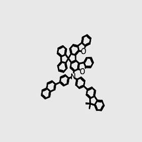 CC1(C)c2ccccc2-c2ccc(-c3ccc(N(c4ccc(-c5ccc6ccccc6c5)cc4)c4cc5c(c6c4oc4ccccc46)-c4c(ccc6c4oc4ccccc46)C54c5ccccc5-c5ccccc54)cc3)cc21